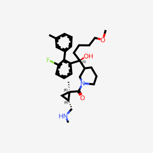 CNC[C@@H]1C[C@@]1(C)C(=O)N1CCCC([C@@](O)(CCCCOC)c2cccc(F)c2-c2cccc(C)c2)C1